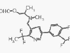 CC(COC=O)N(C)Cc1cc(-c2ccc(F)c(C(F)F)c2)cnc1C(C)(F)F